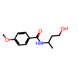 COc1ccc(C(=O)NC(C)CCO)cc1